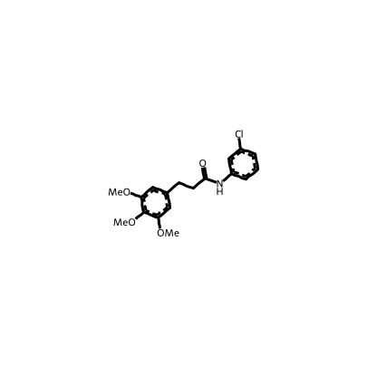 COc1cc(CCC(=O)Nc2cccc(Cl)c2)cc(OC)c1OC